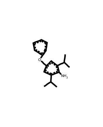 CC(C)c1cc(Oc2ccccc2)cc(C(C)C)c1N